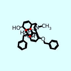 CN1CC[C@@]23c4c5ccc(OCc6ccccc6)c4CC1C21C=C[C@@](O)([C@H]([C@](C)(O)Cc2ccccc2)C1)[C@@H]3O5